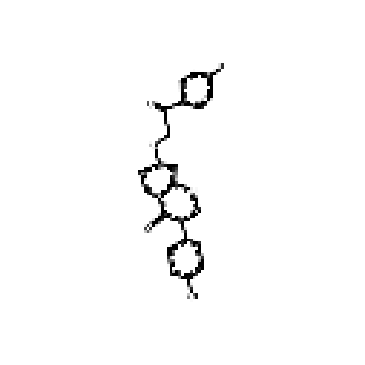 O=C(COc1ccc2c(=O)c(-c3ccc(O)cc3)coc2c1)c1ccc(F)cc1